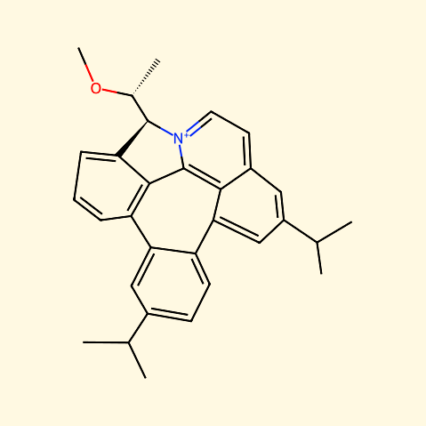 CO[C@H](C)[C@@H]1c2cccc3c2-c2c4c(cc(C(C)C)cc4cc[n+]21)-c1ccc(C(C)C)cc1-3